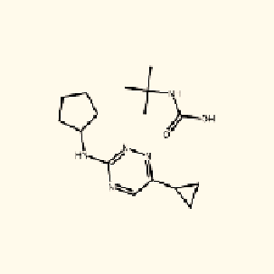 CC(C)(C)NC(=O)O.c1nc(NC2CCCC2)nnc1C1CC1